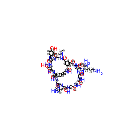 CCCC[C@@H]1NC(=O)c2cc3cc(c2)C(=O)NC[C@@H](C(=O)N[C@@H](CCCCN)C(N)=O)NC(=O)CNC(=O)CNC(=O)CNC(=O)[C@@H](Cc2c[nH]cn2)NC(=O)CNC(=O)[C@H](CCCCNC3=O)NC(=O)[C@@H](CO)NC(=O)[C@H](Cc2ccc(O)cc2)NC1=O